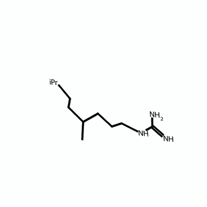 CC(C)CCC(C)CCCNC(=N)N